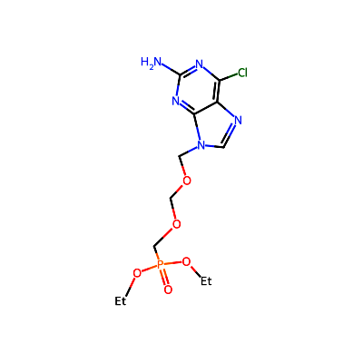 CCOP(=O)(COCOCn1cnc2c(Cl)nc(N)nc21)OCC